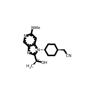 CNc1cc2c(cn1)nc([C@H](C)O)n2[C@H]1CC[C@H](CC#N)CC1